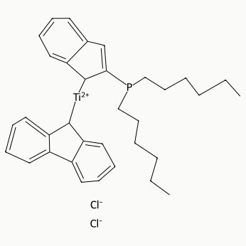 CCCCCCP(CCCCCC)C1=Cc2ccccc2[CH]1[Ti+2][CH]1c2ccccc2-c2ccccc21.[Cl-].[Cl-]